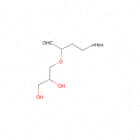 CCCCCCCCC([C]=O)OCC(O)CO